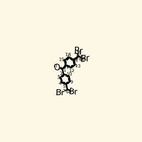 O=C(c1ccc(C(Br)Br)cc1)c1ccc(C(Br)Br)cc1